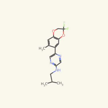 Cc1cc2c(cc1-c1cnc(NCC(C)C)cn1)OC(F)(F)CO2